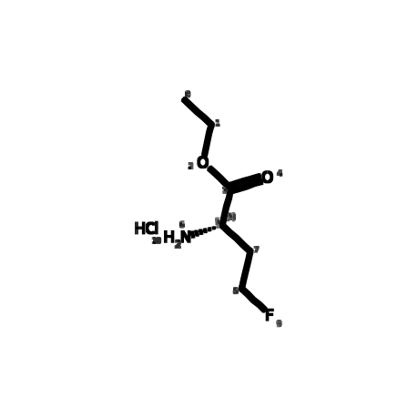 CCOC(=O)[C@@H](N)CCF.Cl